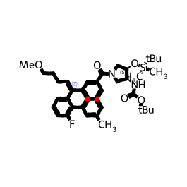 COCCC/C=C(/c1cccc(C(=O)N2C[C@H](O[Si](C)(C)C(C)(C)C)[C@H](NC(=O)OC(C)(C)C)C2)c1)c1cccc(F)c1-c1cccc(C)c1